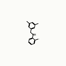 [CH2]c1ccccc1NCc1cc(C)cc(C)c1